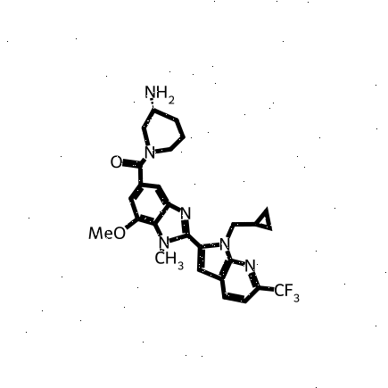 COc1cc(C(=O)N2CCC[C@@H](N)C2)cc2nc(-c3cc4ccc(C(F)(F)F)nc4n3CC3CC3)n(C)c12